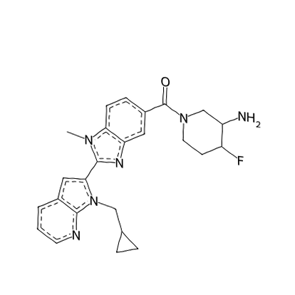 Cn1c(-c2cc3cccnc3n2CC2CC2)nc2cc(C(=O)N3CCC(F)C(N)C3)ccc21